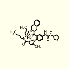 CCCCN(CCCC)C(=O)c1cc(C)n(-c2ccc(NC(=O)NC3CCCC3)cc2C(=O)N2Cc3ccccc3C[C@H]2CO)n1